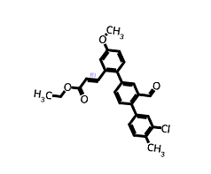 CCOC(=O)/C=C/c1cc(OC)ccc1-c1ccc(-c2ccc(C)c(Cl)c2)c(C=O)c1